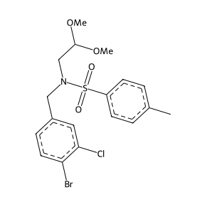 COC(CN(Cc1ccc(Br)c(Cl)c1)S(=O)(=O)c1ccc(C)cc1)OC